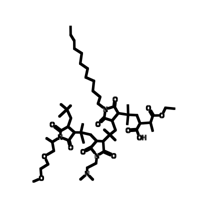 CCCCCCCCCCCCN1C(=O)C(CC(C)(C)C2C(=O)N(CCN(C)C)C(=O)C2CC(C)(C)C2C(=O)N(C(C)COCCOC)C(=O)C2CC(C)(C)C)C(C(C)(C)CC(C(=O)O)C(C)C(=O)OCC)C1=O